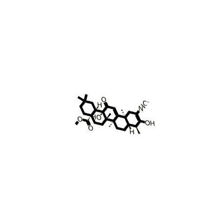 [C-]#[N+]C1=C(O)[C@@H](C)[C@@H]2CC[C@]3(C)C(=CC(=O)[C@]4(O)[C@@H]5CC(C)(C)CC[C@]5(C(=O)OC)CC[C@@]34C)[C@@]2(C)C1